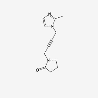 Cc1nccn1CC#CCN1CCCC1=O